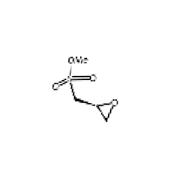 COS(=O)(=O)C[C@@H]1CO1